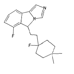 CC1(C)CCC(F)(CCC2c3c(F)cccc3-c3cncn32)CC1